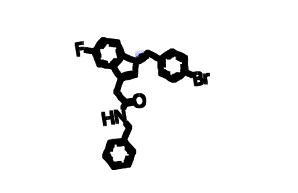 O=C(CC1=C/C(=C\c2ccc(Br)cc2)c2ccc(F)cc21)NCc1ccccc1